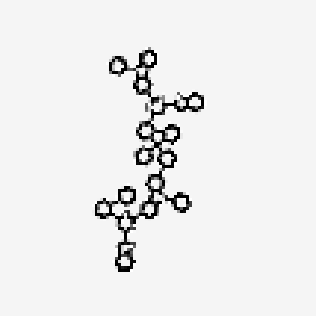 c1ccc(-c2ccccc2-c2cc(-c3cc4ccccc4o3)nc(-c3ccc4c(c3)c3ccc(-c5cccc(C6(c7ccccc7)c7ccccc7-c7c(-c8cc(-c9cc%10ccccc%10o9)nc(-c9ccc%10c(c9)c9ccccc9n%10-c9ccccc9)n8)cccc76)c5)cc3n4-c3ccccc3)n2)cc1